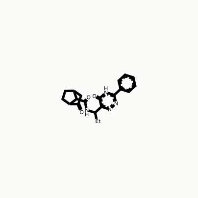 CCC(NC(=O)C1C2CCC1C(=O)C2)c1nnc(-c2ccccc2)[nH]c1=O